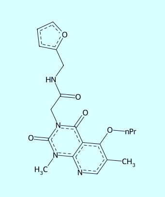 CCCOc1c(C)cnc2c1c(=O)n(CC(=O)NCc1ccco1)c(=O)n2C